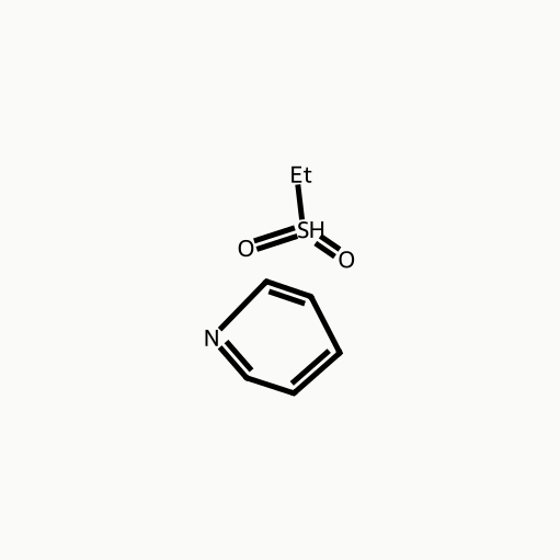 CC[SH](=O)=O.c1ccncc1